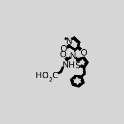 CN1C=CC(=O)[C@H](N(C(=O)NCCC(=O)O)c2ccc(Cc3ccccc3)s2)C1=O